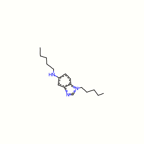 CCCCCNc1ccc2c(c1)ncn2CCCCC